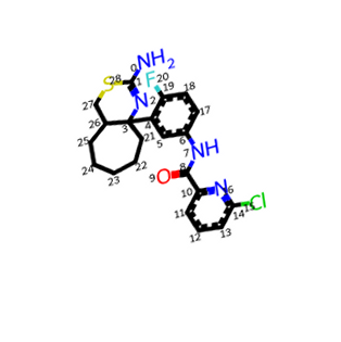 NC1=NC2(c3cc(NC(=O)c4cccc(Cl)n4)ccc3F)CCCCCC2CS1